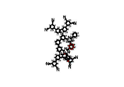 N#Cc1cc(C#N)cc(-c2ccc3c(c2)c2cc(-c4cc(C#N)cc(C#N)c4)ccc2n3-c2cc(-c3cccc(-c4ccc(-n5c6ccc(-c7cc(C#N)cc(C#N)c7)cc6c6cc(-c7cc(C#N)cc(C#N)c7)ccc65)c(-c5nc(-c6ccccc6)nc(-c6ccccc6)n5)c4)c3)cc(-c3nc(-c4ccccc4)nc(-c4ccccc4)n3)c2)c1